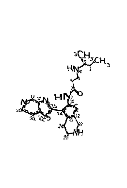 CC[C@H](C)NCCC(=O)Nc1sc2c(c1-c1nc3cnccc3s1)CCNC2